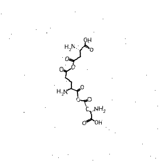 NC(CCC(=O)OC(=O)C[C@H](N)C(=O)O)C(=O)OC(=O)C[C@H](N)C(=O)O